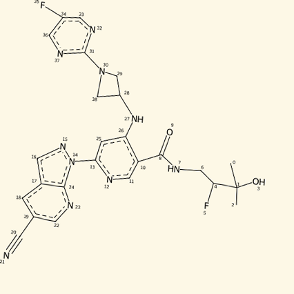 CC(C)(O)C(F)CNC(=O)c1cnc(-n2ncc3cc(C#N)cnc32)cc1NC1CN(c2ncc(F)cn2)C1